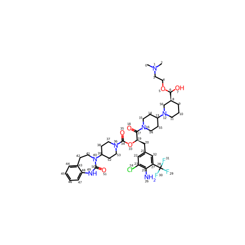 CN(C)CCOC(O)[C@H]1CCCN(C2CCN(C(=O)[C@@H](Cc3cc(Cl)c(N)c(C(F)(F)F)c3)OC(=O)N3CCC(N4CCc5ccccc5NC4=O)CC3)CC2)C1